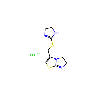 C1=C(CSC2=NCCN2)N2CCN=C2S1.Cl.Cl